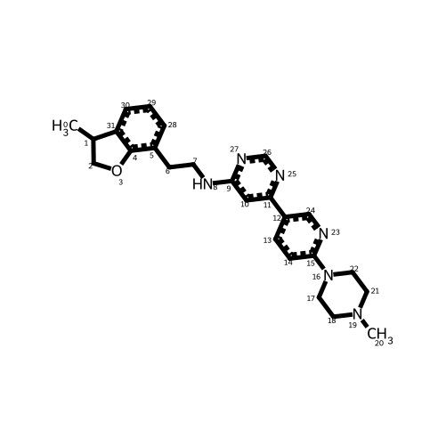 CC1COc2c(CCNc3cc(-c4ccc(N5CCN(C)CC5)nc4)ncn3)cccc21